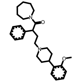 COc1ccccc1C1CCN(CCC(C(=O)N2CCCCCC2)c2ccccc2)CC1